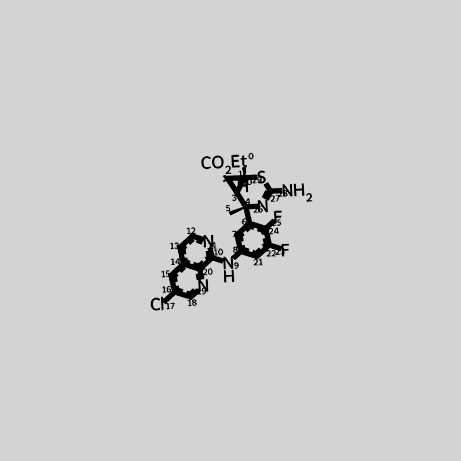 CCOC(=O)[C@]12C[C@H]1[C@@](C)(c1cc(Nc3nccc4cc(Cl)cnc34)cc(F)c1F)N=C(N)S2